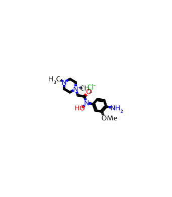 COc1cc(N(O)C(=O)C[N+]2(C)CCN(C)CC2)ccc1N.[Cl-]